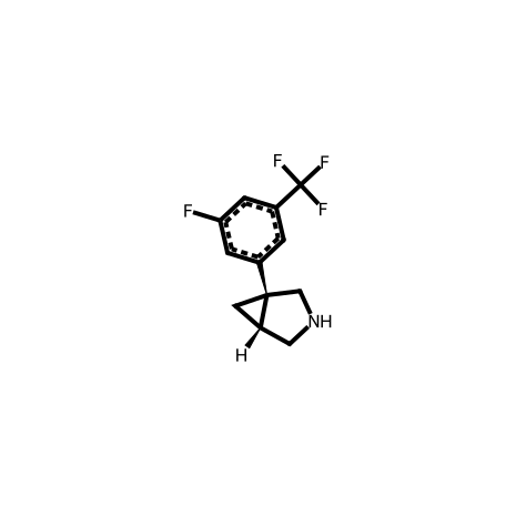 Fc1cc(C(F)(F)F)cc([C@@]23CNC[C@@H]2C3)c1